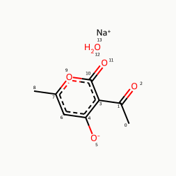 CC(=O)c1c([O-])cc(C)oc1=O.O.[Na+]